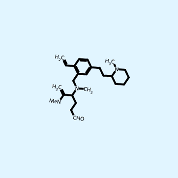 C=Cc1ccc(CCC2CCCCN2C)cc1CN(C)C(CCC=O)C(=C)NC